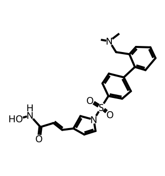 CN(C)Cc1ccccc1-c1ccc(S(=O)(=O)n2ccc(C=CC(=O)NO)c2)cc1